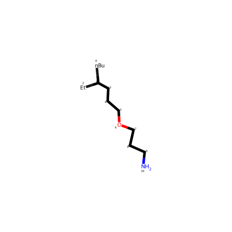 CCCCC(CC)CCCOCCCN